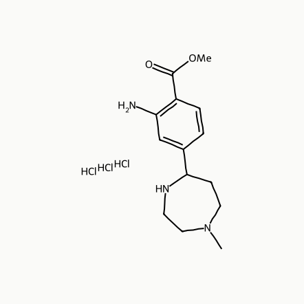 COC(=O)c1ccc(C2CCN(C)CCN2)cc1N.Cl.Cl.Cl